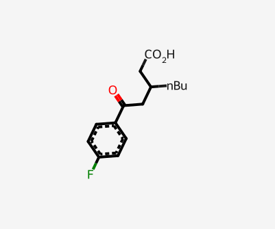 CCCCC(CC(=O)O)CC(=O)c1ccc(F)cc1